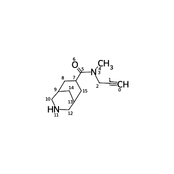 C#CCN(C)C(=O)C1CC2CNCC(C2)C1